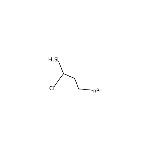 CCCCCC([SiH3])Cl